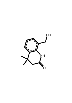 CC1(C)CC(=O)Nc2c(CO)cccc21